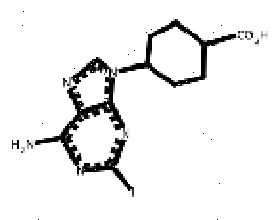 Nc1nc(I)nc2c1ncn2C1CCC(C(=O)O)CC1